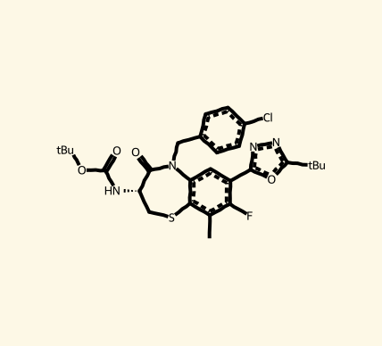 Cc1c(F)c(-c2nnc(C(C)(C)C)o2)cc2c1SC[C@H](NC(=O)OC(C)(C)C)C(=O)N2Cc1ccc(Cl)cc1